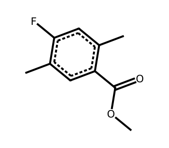 COC(=O)c1cc(C)c(F)cc1C